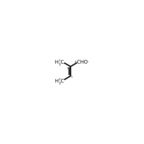 CC=C(C)[C]=O